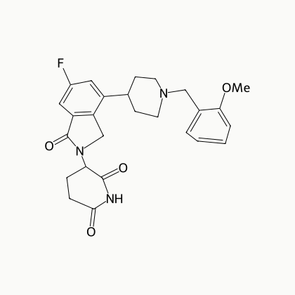 COc1ccccc1CN1CCC(c2cc(F)cc3c2CN(C2CCC(=O)NC2=O)C3=O)CC1